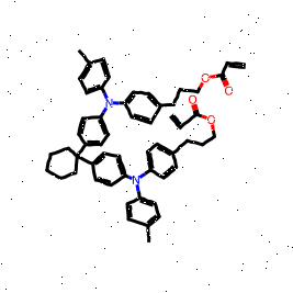 C=CC(=O)OCCCc1ccc(N(c2ccc(C)cc2)c2ccc(C3(c4ccc(N(c5ccc(C)cc5)c5ccc(CCCOC(=O)C=C)cc5)cc4)CCCCC3)cc2)cc1